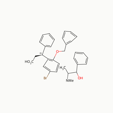 CNC(C)C(O)c1ccccc1.O=C(O)C[C@@H](c1ccccc1)c1cc(Br)ccc1OCc1ccccc1